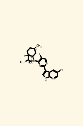 CC(C)[C@]1(I)CC[C@@H](C)C[C@H]1Nc1nc(-c2c[nH]c3ncc(Cl)cc23)ncc1F